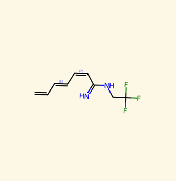 C=C/C=C/C=C\C(=N)NCC(F)(F)F